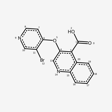 O=C(O)c1c(Oc2ccncc2Br)cnc2ccccc12